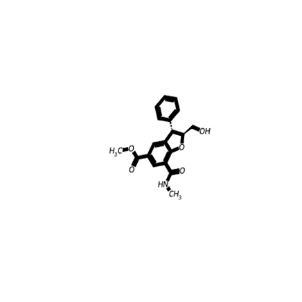 CNC(=O)c1cc(C(=O)OC)cc2c1O[C@H](CO)[C@H]2c1ccccc1